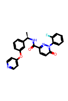 C[C@@H](NC(=O)c1ccc(=O)n(-c2ccccc2F)n1)c1cccc(Oc2ccncc2)c1